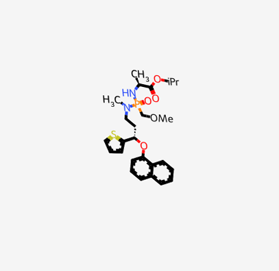 COCP(=O)(N[C@@H](C)C(=O)OC(C)C)N(C)CC[C@H](Oc1cccc2ccccc12)c1cccs1